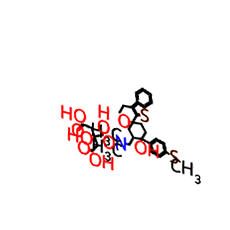 CSc1ccc(C2(O)CCC3(CC2CN(C)C)OCCc2c3sc3ccccc23)cc1.O=C(O)CC(O)(CC(=O)O)C(=O)O